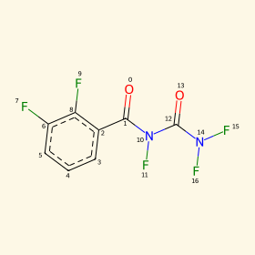 O=C(c1cccc(F)c1F)N(F)C(=O)N(F)F